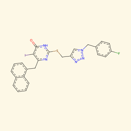 O=c1[nH]c(SCc2cn(Cc3ccc(F)cc3)nn2)nc(Cc2cccc3ccccc23)c1I